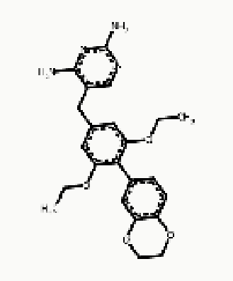 CCOc1cc(Cc2cnc(N)nc2N)cc(OCC)c1-c1ccc2c(c1)OCCO2